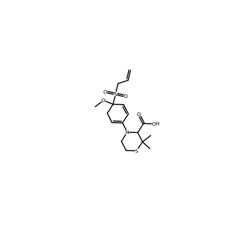 C=CCS(=O)(=O)C1(OC)C=CC(N2CCSC(C)(C)C2C(=O)O)=CC1